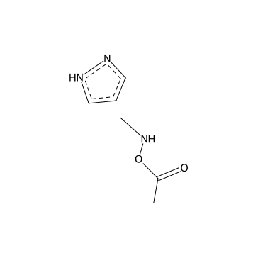 CNOC(C)=O.c1cn[nH]c1